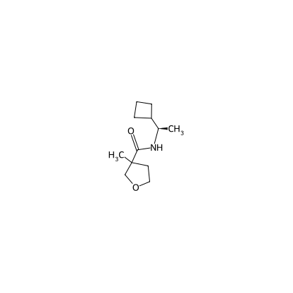 C[C@@H](NC(=O)C1(C)CCOC1)C1CCC1